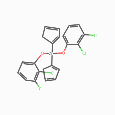 Clc1cccc([O][Zr]([O]c2cccc(Cl)c2Cl)([C]2=CC=CC2)[C]2=CC=CC2)c1Cl